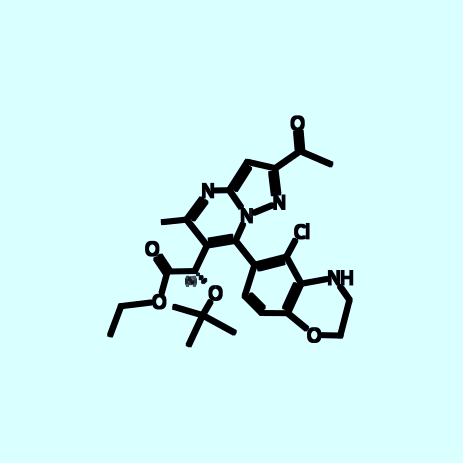 CCOC(=O)[C@@H](OC(C)(C)C)c1c(C)nc2cc(C(C)=O)nn2c1-c1ccc2c(c1Cl)NCCO2